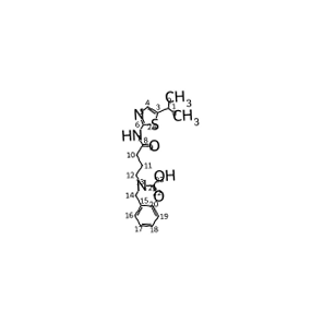 CC(C)c1cnc(NC(=O)CCCN(Cc2ccccc2)C(=O)O)s1